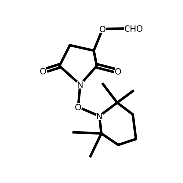 CC1(C)CCCC(C)(C)N1ON1C(=O)CC(OC=O)C1=O